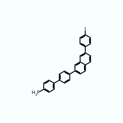 Pc1ccc(-c2ccc(-c3ccc4ccc(-c5ccc(I)cc5)cc4c3)cc2)cc1